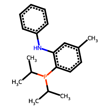 Cc1ccc(P(C(C)C)C(C)C)c(Nc2ccccc2)c1